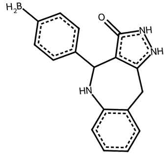 Bc1ccc(C2Nc3ccccc3Cc3[nH][nH]c(=O)c32)cc1